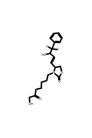 O=C(CO)CCCCCN1C(=O)OCC1/C=C/C(O)C(F)(F)c1ccccc1